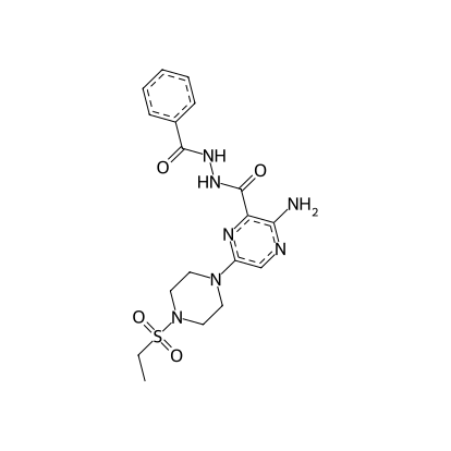 CCS(=O)(=O)N1CCN(c2cnc(N)c(C(=O)NNC(=O)c3ccccc3)n2)CC1